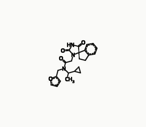 CC(C1CC1)N(Cc1ccco1)C(=O)CN1C(=O)NC(=O)C12CCc1ccccc12